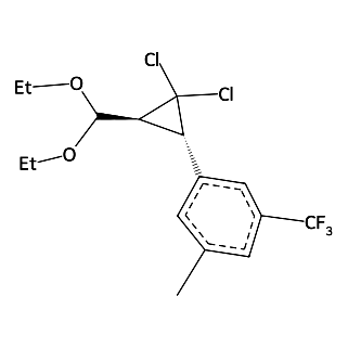 CCOC(OCC)[C@@H]1[C@@H](c2cc(C)cc(C(F)(F)F)c2)C1(Cl)Cl